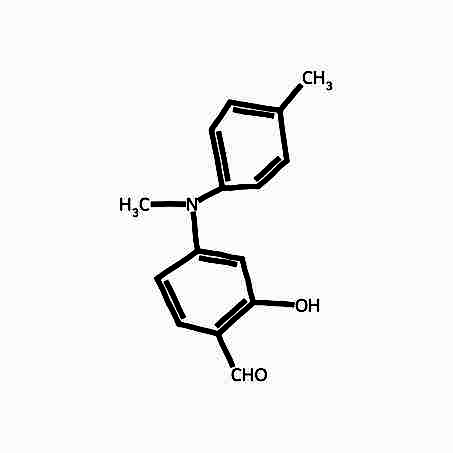 Cc1ccc(N(C)c2ccc(C=O)c(O)c2)cc1